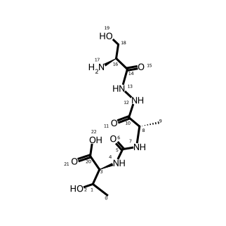 CC(O)[C@H](NC(=O)N[C@@H](C)C(=O)NNC(=O)[C@@H](N)CO)C(=O)O